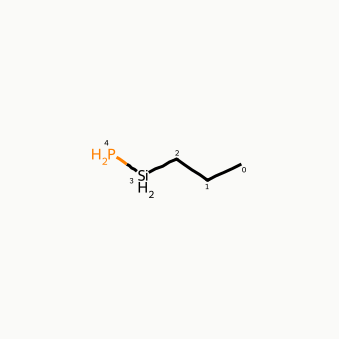 CCC[SiH2]P